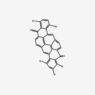 O=c1c2ccc3cc4c5c(Br)cc(Br)c(Br)c5c(=O)c5ccc6cc(c7c(Br)ccc(Br)c17)c2c3c6c54